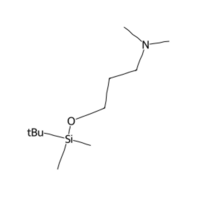 CN(C)CCCO[Si](C)(C)C(C)(C)C